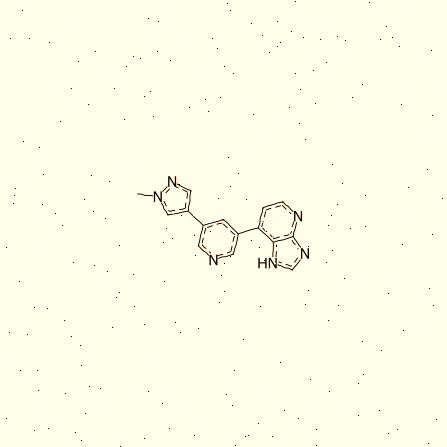 Cn1cc(-c2cncc(-c3ccnc4nc[nH]c34)c2)cn1